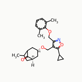 Cc1cccc(C)c1OCc1noc(C2CC2)c1CO[C@H]1CC2C(=O)[C@H](CC2C)C1